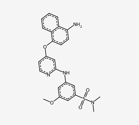 COc1cc(Nc2cc(Oc3ccc(N)c4ccccc34)ccn2)cc(S(=O)(=O)N(C)C)c1